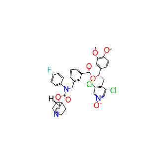 COc1ccc([C@H](Cc2c(Cl)c[n+]([O-])cc2Cl)OC(=O)c2cccc(CN(C(=O)O[C@H]3CN4CCC3CC4)c3ccc(F)cc3)c2)cc1OC